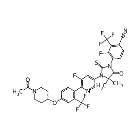 CC(=O)N1CCC(Oc2ccc(-c3ncc(N4C(=S)N(c5ccc(C#N)c(C(F)(F)F)c5F)C(=O)C4(C)C)cc3F)c(C(F)(F)F)c2)CC1